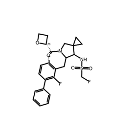 O=C([C@H]1CCO1)N1CC2(CC2)C(NS(=O)(=O)CF)C1Cc1c(F)ccc(-c2ccccc2)c1F